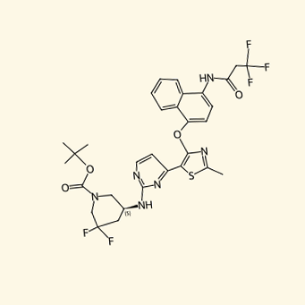 Cc1nc(Oc2ccc(NC(=O)CC(F)(F)F)c3ccccc23)c(-c2ccnc(N[C@@H]3CN(C(=O)OC(C)(C)C)CC(F)(F)C3)n2)s1